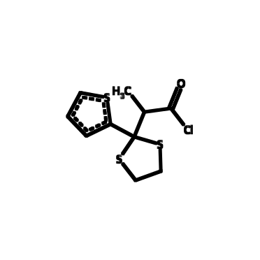 CC(C(=O)Cl)C1(c2cccs2)SCCS1